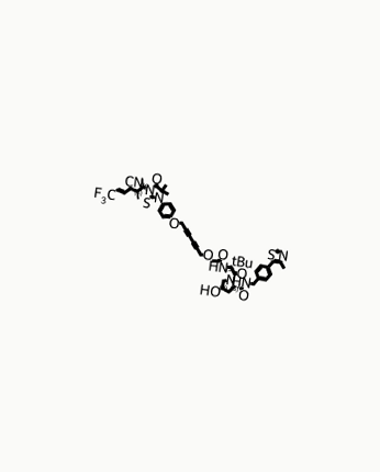 Cc1ncsc1-c1ccc(CNC(=O)[C@@H]2C[C@@H](O)CN2C(=O)[C@@H](NC(=O)COCC#CC#CCOc2ccc(N3C(=S)N([C@H](C)[C@@H](C)C(C#N)C=CC(F)(F)F)C(=O)C3(C)C)cc2)C(C)(C)C)cc1